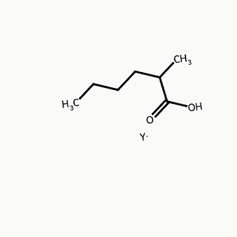 CCCCC(C)C(=O)O.[Y]